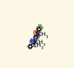 Cc1c(-c2ccccc2)nnc(N2CCC(N(C)C(=O)C3CCC(F)(F)CC3)CC2)c1C